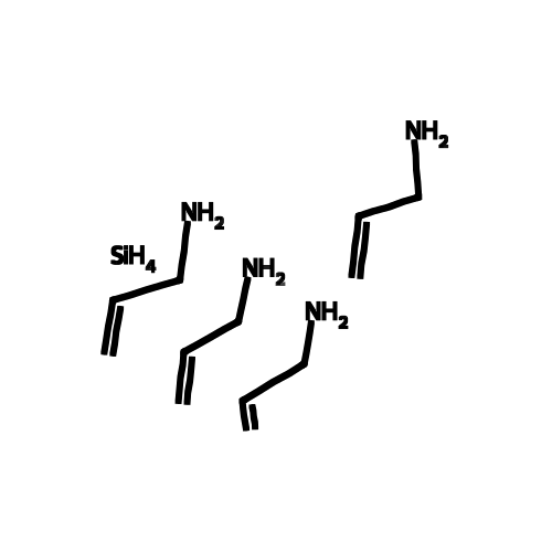 C=CCN.C=CCN.C=CCN.C=CCN.[SiH4]